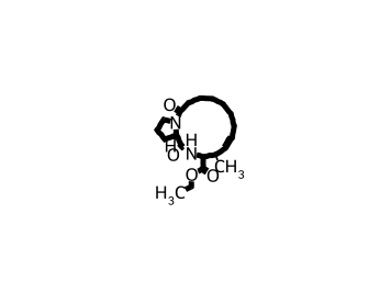 CCOC(=O)C1NC(=O)[C@@H]2CCCN2C(=O)CCCCCC/C=C\[C@@H]1C